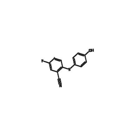 N#Cc1cc(F)[c]cc1Sc1ccc(O)cc1